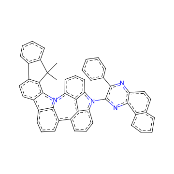 CC1(C)c2ccccc2-c2ccc3c4cccc5c6cccc7c6c6c(cccc6n(c3c21)c54)n7-c1nc2c(ccc3ccccc32)nc1-c1ccccc1